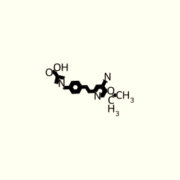 CC(C)Oc1cnc(CCc2ccc(CN3CC(C(=O)O)C3)cc2)cc1C#N